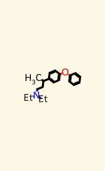 CCN(CC)CCC(C)c1ccc(Oc2ccccc2)cc1